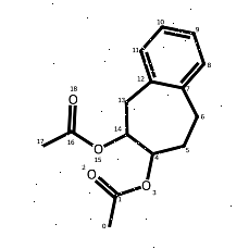 CC(=O)OC1CCc2ccccc2CC1OC(C)=O